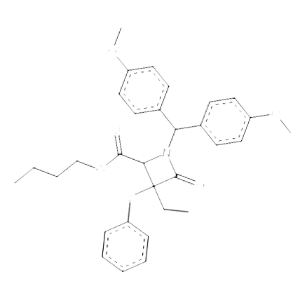 CCCCOC(=O)C1N(C(c2ccc(OC)cc2)c2ccc(OC)cc2)C(=O)C1(CC)Sc1ccccc1